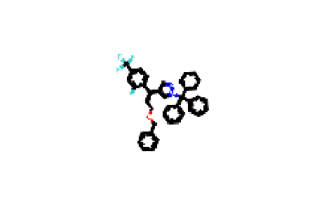 Fc1cc(C(F)(F)F)ccc1C(=CCOCc1ccccc1)c1cnn(C(c2ccccc2)(c2ccccc2)c2ccccc2)c1